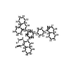 C#Cc1c(/C=C\C)c(-c2nc(-c3ccc(-c4nccc5ccccc45)cc3)nc(-c3cc4ccccc4c4ccccc34)n2)cc2ccccc12